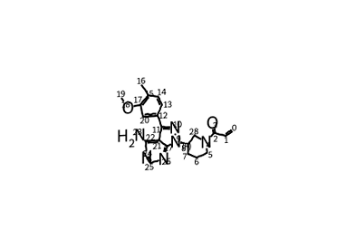 C=CC(=O)N1CCC[C@@H](n2nc(-c3ccc(C)c(OC)c3)c3c(N)ncnc32)C1